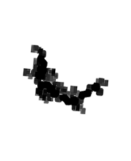 CC(C)OCCC(C)(C)C(C)(C)OC(C)CC(C)(C)C(C)(C)OCCC(C)(C)OCCOC(=O)C(C)(C)C